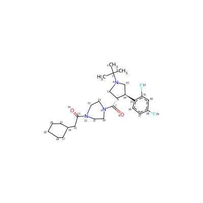 CC(C)(C)N1C[C@@H](C(=O)N2CCN(C(=O)CC3CCCCC3)CC2)[C@H](c2ccc(F)cc2F)C1